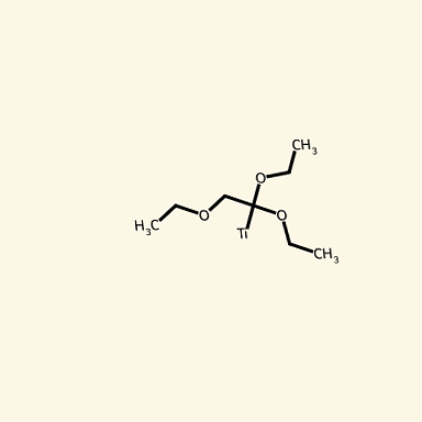 CCOC[C]([Ti])(OCC)OCC